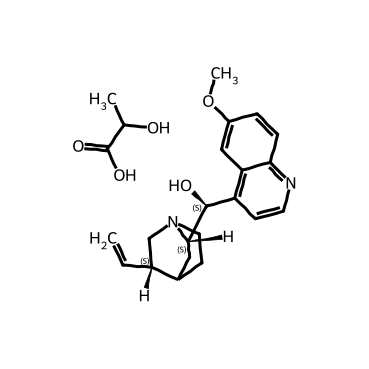 C=C[C@@H]1CN2CCC1C[C@H]2[C@@H](O)c1ccnc2ccc(OC)cc12.CC(O)C(=O)O